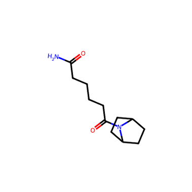 NC(=O)CCCCC(=O)N1C2CCC1CC2